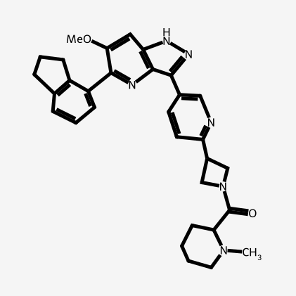 COc1cc2[nH]nc(-c3ccc(C4CN(C(=O)C5CCCCN5C)C4)nc3)c2nc1-c1cccc2c1CCC2